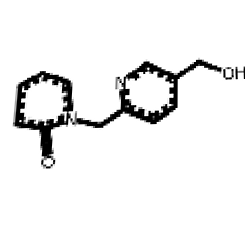 O=c1ccccn1Cc1ccc(CO)cn1